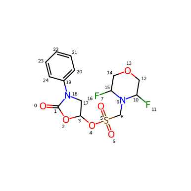 O=C1OC(OS(=O)(=O)CN2C(F)COCC2F)CN1c1ccccc1